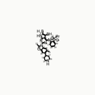 Bc1[nH]c2nc(N3c4cc(C)c(C5CCNCC5)cc4OC3C)nc(Nc3ccccc3S(=O)(=O)C(C)C)c2c1B